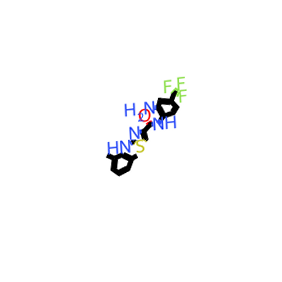 Cc1cccc(C)c1Nc1nc(C(=O)Nc2ccc(C(F)(F)F)cc2N)cs1